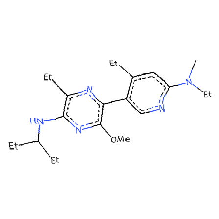 CCc1cc(N(C)CC)ncc1-c1nc(CC)c(NC(CC)CC)nc1OC